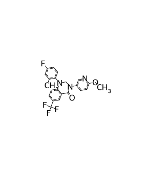 COc1ccc(N2CN(c3ccc(F)cc3C)c3ccc(C(F)(F)F)cc3C2=O)cn1